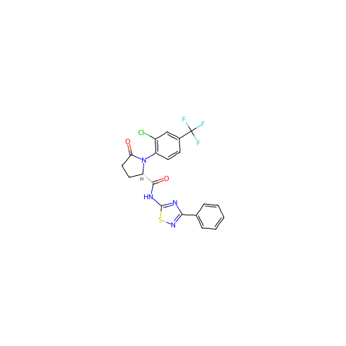 O=C(Nc1nc(-c2ccccc2)ns1)[C@@H]1CCC(=O)N1c1ccc(C(F)(F)F)cc1Cl